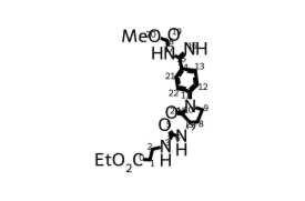 CCOC(=O)CCNC(=O)N[C@H]1CCN(c2ccc(C(=N)NC(=O)OC)cc2)C1=O